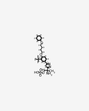 CC(N)(COP(=O)(O)O)c1nnc(-c2ccc(OCCCCOc3ccccc3)c(C(F)(F)F)c2)s1